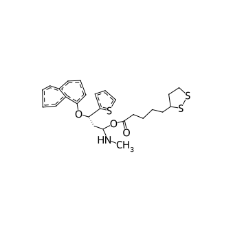 CNC(C[C@H](Oc1cccc2ccccc12)c1cccs1)OC(=O)CCCCC1CCSS1